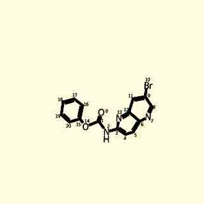 O=C(Nc1ccc2ncc(Br)cc2n1)Oc1ccccc1